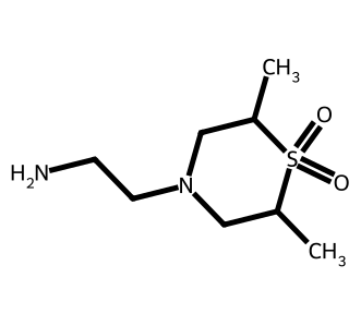 CC1CN(CCN)CC(C)S1(=O)=O